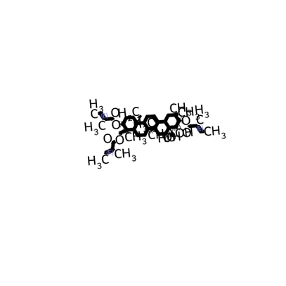 C=C[C@]12CC[C@H](OC(=O)/C(C)=C/C)[C@](C)(COC(=O)/C(C)=C/C)C1CC[C@]1(C)C2CC=C2C3CC(C)(C)[C@@H](OC(=O)/C(C)=C/C)[C@H](O)[C@]3(CO)[C@H](O)C[C@]21C